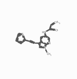 C=CC(=O)Nc1cnc2c(c1)c(C#Cc1cccs1)cn2C